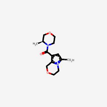 C[C@H]1COCCN1C(=O)c1cc(C(=O)O)n2c1COCC2